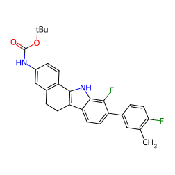 Cc1cc(-c2ccc3c4c([nH]c3c2F)-c2ccc(NC(=O)OC(C)(C)C)cc2CC4)ccc1F